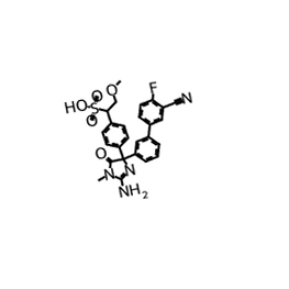 COCC(c1ccc(C2(c3cccc(-c4ccc(F)c(C#N)c4)c3)N=C(N)N(C)C2=O)cc1)S(=O)(=O)O